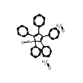 C=O.C=O.[Cl][Ru][C]1(c2ccccc2)C(c2ccccc2)=C(c2ccccc2)C(c2ccccc2)=C1c1ccccc1